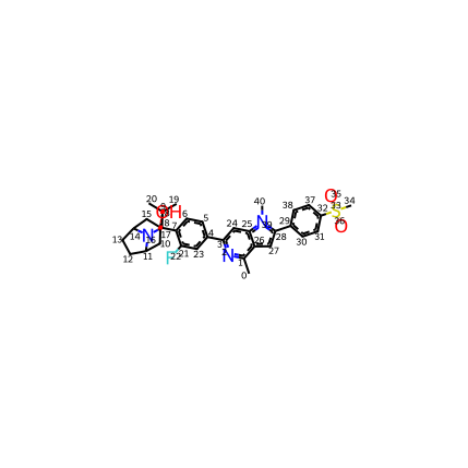 Cc1nc(-c2ccc(C3(O)CC4CCC(C3)N4CC(C)C)c(F)c2)cc2c1cc(-c1ccc(S(C)(=O)=O)cc1)n2C